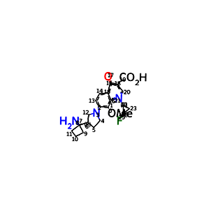 COc1c(N2CC[C@@H](C3(N)CCC3)C2)ccc2c(=O)c(C(=O)O)cn([C@@H]3C[C@H]3F)c12